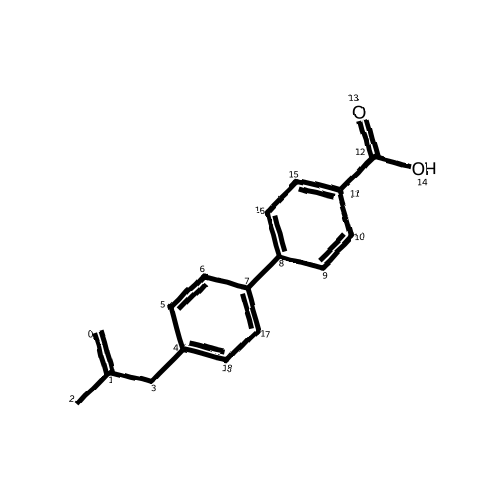 C=C(C)Cc1ccc(-c2ccc(C(=O)O)cc2)cc1